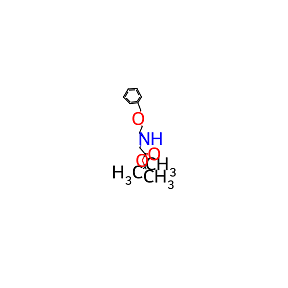 CC(C)(C)OC(=O)CNCCOCc1ccccc1